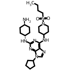 CCCCS(=O)(=O)N1CCC(Nc2nc(N[C@H]3CC[C@H](N)CC3)nc3c2ncn3C2CCCC2)CC1